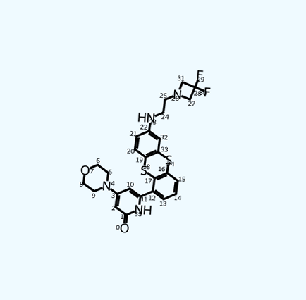 O=c1cc(N2CCOCC2)cc(-c2cccc3c2Sc2ccc(NCCN4CC(F)(F)C4)cc2S3)[nH]1